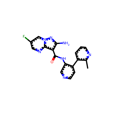 Cc1ncccc1-c1ccncc1NC(=O)c1c(N)nn2cc(F)cnc12